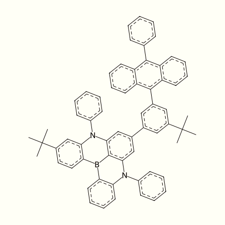 CC(C)(C)c1cc(-c2cc3c4c(c2)N(c2ccccc2)c2cc(C(C)(C)C)ccc2B4c2ccccc2N3c2ccccc2)cc(-c2c3ccccc3c(-c3ccccc3)c3ccccc23)c1